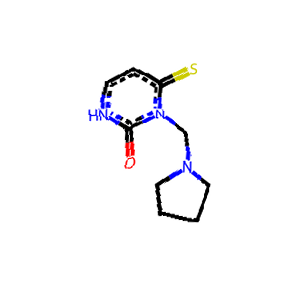 O=c1[nH]ccc(=S)n1CN1CCCC1